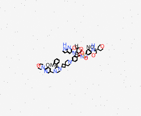 COc1cc(CN2CCN(C3CC4(CCN(c5ccc(C(=O)NS(=O)(=O)c6cc7c(c([N+](=O)[O-])c6)N[C@H](C6CCOCC6)CO7)c(N6c7cc8cc[nH]c8nc7O[C@H]7COCC[C@@H]76)c5)CC4)C3)[C@H](c3ccccc3C)C2)cnc1N1CCOCC1